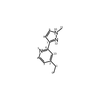 CCc1ccnc(-c2ccn(C)n2)c1